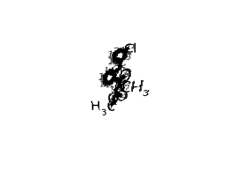 CCOC(=O)CN(C)C(=O)c1ccccc1Cc1cccc(Cl)c1